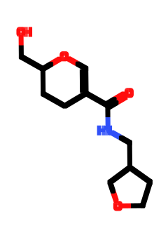 O=C(NCC1CCOC1)C1=COC(CO)CC1